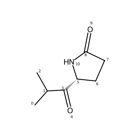 CC(C)C(=O)[C@H]1CCC(=O)N1